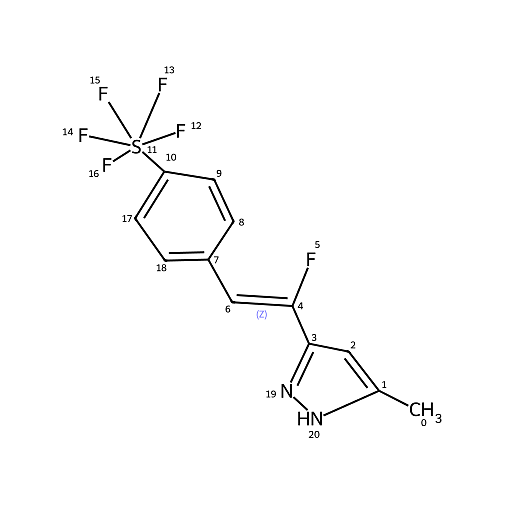 Cc1cc(/C(F)=C/c2ccc(S(F)(F)(F)(F)F)cc2)n[nH]1